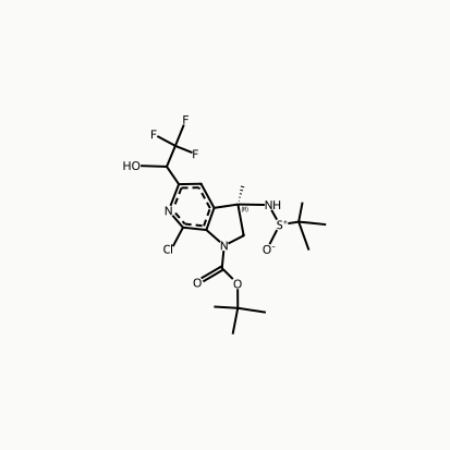 CC(C)(C)OC(=O)N1C[C@](C)(N[S+]([O-])C(C)(C)C)c2cc(C(O)C(F)(F)F)nc(Cl)c21